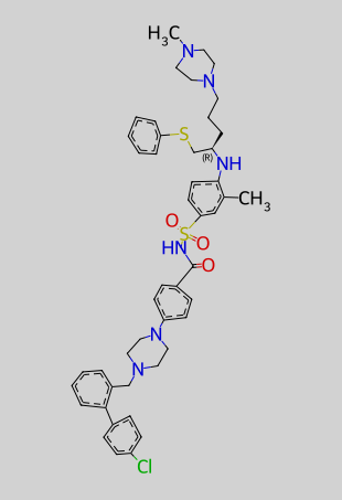 Cc1cc(S(=O)(=O)NC(=O)c2ccc(N3CCN(Cc4ccccc4-c4ccc(Cl)cc4)CC3)cc2)ccc1N[C@H](CCCN1CCN(C)CC1)CSc1ccccc1